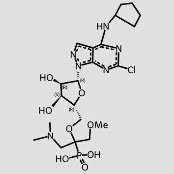 COCC(CN(C)C)(OC[C@H]1O[C@@H](n2ncc3c(NC4CCCC4)nc(Cl)nc32)[C@H](O)[C@@H]1O)P(=O)(O)O